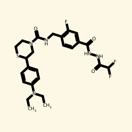 CCN(CC)c1ccc(C2CN(C(=O)NCc3ccc(C(=O)NNC(=O)C(F)F)cc3F)CCS2)cc1